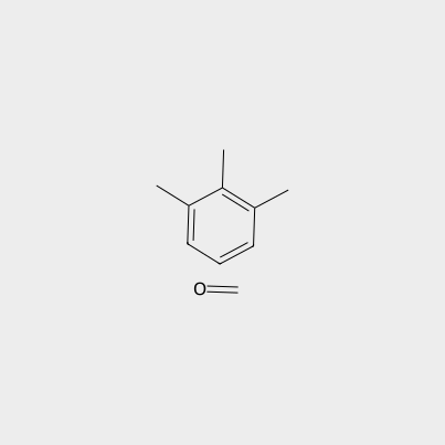 C=O.Cc1cccc(C)c1C